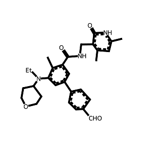 CCN(c1cc(-c2ccc(C=O)cc2)cc(C(=O)NCc2c(C)cc(C)[nH]c2=O)c1C)C1CCOCC1